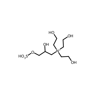 O=S(=O)(O)OCC(O)C[N+](CCO)(CCO)CCO